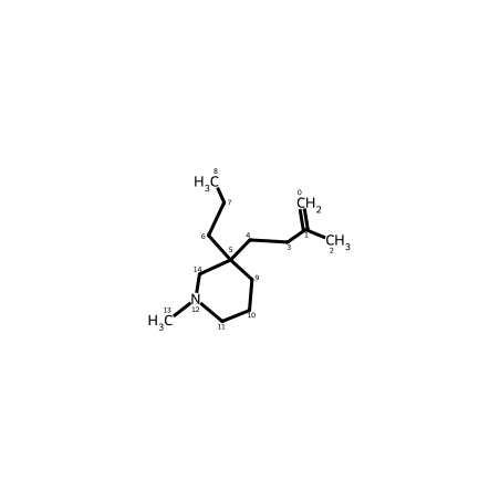 C=C(C)CCC1(CCC)CCCN(C)C1